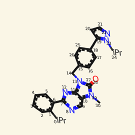 CC(C)c1ccccc1-c1ncc2c(n1)n(Cc1ccc(-c3ccnn3C(C)C)cc1)c(=O)n2C